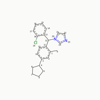 Cc1cc(C2CCCC2)ccc1C(c1ccccc1Cl)n1ccnc1